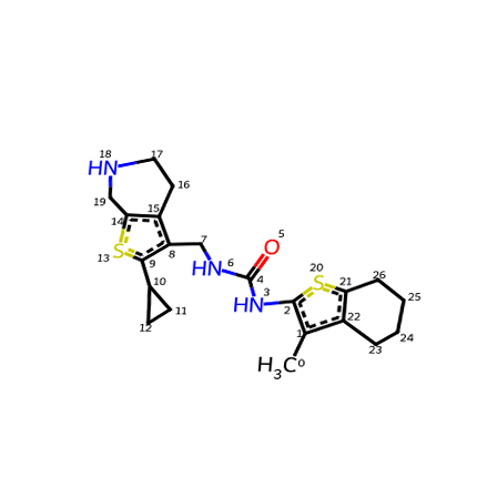 Cc1c(NC(=O)NCc2c(C3CC3)sc3c2CCNC3)sc2c1CCCC2